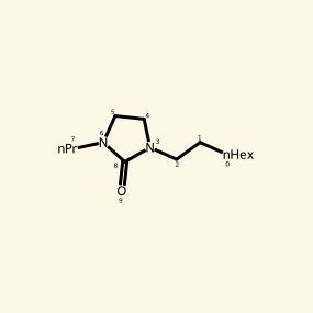 CCCCCCCCN1CCN(CCC)C1=O